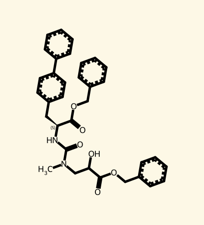 CN(CC(O)C(=O)OCc1ccccc1)C(=O)N[C@@H](Cc1ccc(-c2ccccc2)cc1)C(=O)OCc1ccccc1